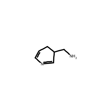 NCC1C=NC=CC1